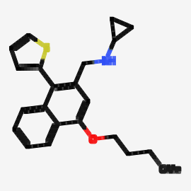 COCCCOc1cc(CNC2CC2)c(-c2cccs2)c2ccccc12